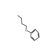 [CH2]CCCOc1ccccc1